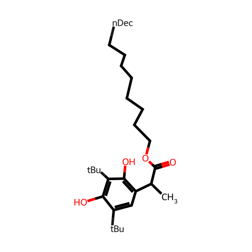 CCCCCCCCCCCCCCCCCCOC(=O)C(C)c1cc(C(C)(C)C)c(O)c(C(C)(C)C)c1O